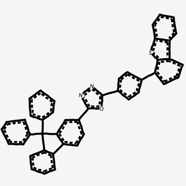 c1ccc(C2(c3ccccc3)c3ccccc3-c3ccc(-c4nnc(-c5ccc(-c6cccc7c6sc6ccccc67)cc5)o4)cc32)cc1